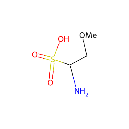 COCC(N)S(=O)(=O)O